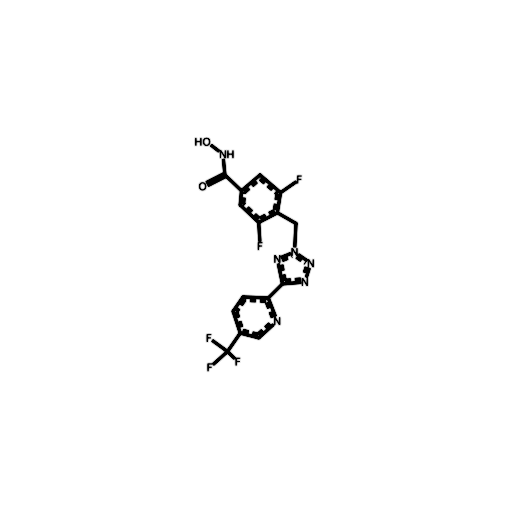 O=C(NO)c1cc(F)c(Cn2nnc(-c3ccc(C(F)(F)F)cn3)n2)c(F)c1